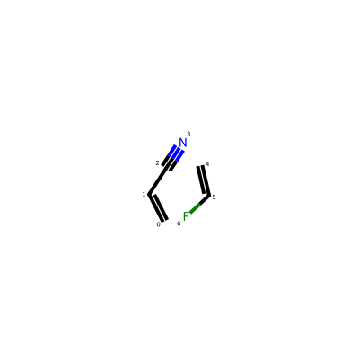 C=CC#N.C=CF